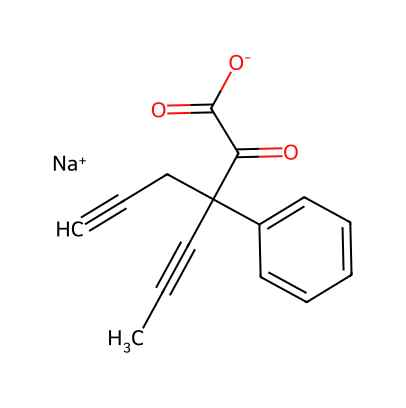 C#CCC(C#CC)(C(=O)C(=O)[O-])c1ccccc1.[Na+]